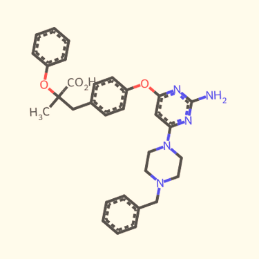 CC(Cc1ccc(Oc2cc(N3CCN(Cc4ccccc4)CC3)nc(N)n2)cc1)(Oc1ccccc1)C(=O)O